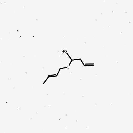 C=CCC(O)OCC=CC